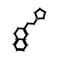 C1=C(CCN2CCCC2)CCc2ccccc21